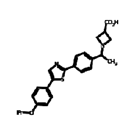 CC(C)Oc1ccc(-c2cnc(-c3ccc(C(C)N4CC(C(=O)O)C4)cc3)s2)cc1